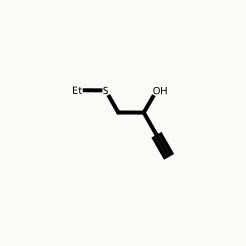 C#CC(O)CSCC